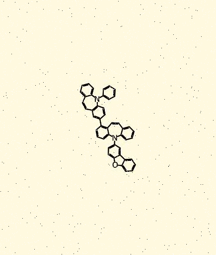 C1=Cc2cc(-c3cccc4c3C=Cc3ccccc3N4c3ccc4oc5ccccc5c4c3)ccc2N(c2ccccc2)c2ccccc21